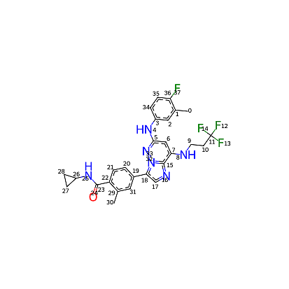 Cc1cc(Nc2cc(NCCC(F)(F)F)c3ncc(-c4ccc(C(=O)NC5CC5)c(C)c4)n3n2)ccc1F